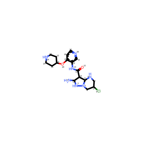 NC1NN2CC(Cl)CNC2C1C(=O)Nc1cnccc1OC1CCNCC1